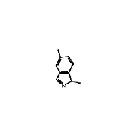 Cc1ccc2c(c1)C=N[C@@H]2C